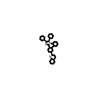 c1ccc(-c2nc3c4ccc(-c5ccc6ccccc6n5)cc4c4ccccc4n3c2-c2ccccc2)cc1